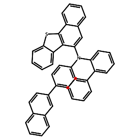 c1ccc(-c2ccccc2N(c2ccc(-c3ccc4ccccc4c3)cc2)c2cc3ccccc3c3sc4ccccc4c23)cc1